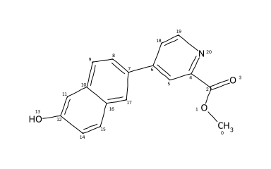 COC(=O)c1cc(-c2ccc3cc(O)ccc3c2)ccn1